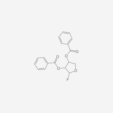 O=C(OC1COC(F)C1OC(=O)c1ccccc1)c1ccccc1